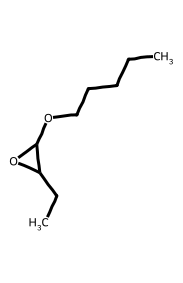 CCCCCOC1OC1CC